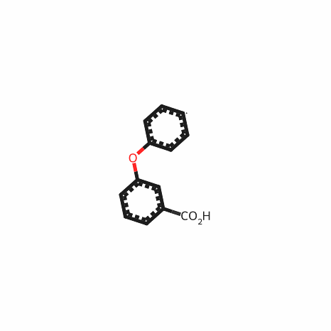 O=C(O)c1cccc(Oc2cc[c]cc2)c1